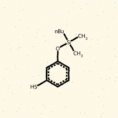 CCCC[Si](C)(C)Oc1cccc(S)c1